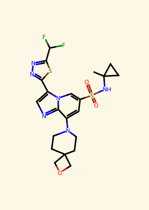 CC1(NS(=O)(=O)c2cc(N3CCC4(CC3)COC4)c3ncc(-c4nnc(C(F)F)s4)n3c2)CC1